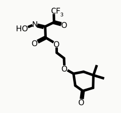 CC1(C)CC(=O)CC(OCCOC(=O)/C(=N\O)C(=O)C(F)(F)F)C1